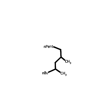 CCCCCCC(C)CC(C)CCCC